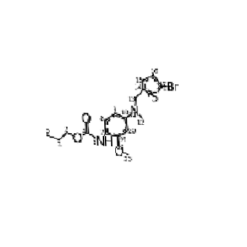 CCCOC(=O)Nc1ccc(N(C)Cc2ccc(Br)s2)cc1OC